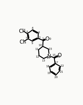 O=C(c1ccc(Cl)c(Cl)c1)C1CCCN(C(=O)c2ccccc2)C1